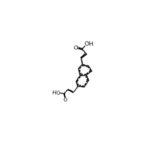 O=C(O)C=Cc1ccc2ccc(C=CC(=O)O)cc2c1